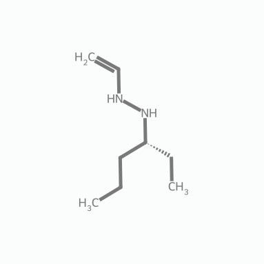 C=CNN[C@H](CC)CCC